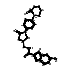 O=C(NCC1CC(=O)N(c2ccc(N3CCCCC3=O)cc2)C1)c1cc2ccc(Br)cc2s1